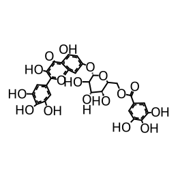 O=C(OCC1O[C@@H](Oc2cc(O)c3c(=O)c(O)c(-c4cc(O)c(O)c(O)c4)oc3c2)C(O)[C@@H](O)[C@@H]1O)c1cc(O)c(O)c(O)c1